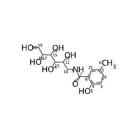 Cc1ccc(O)c(C(=O)NCC(O)C(O)C(O)C(O)CO)c1